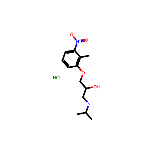 Cc1c(OCC(O)CNC(C)C)cccc1[N+](=O)[O-].Cl